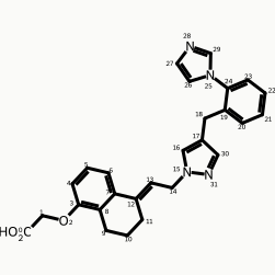 O=C(O)COc1cccc2c1CCCC2=CCn1cc(Cc2ccccc2-n2ccnc2)cn1